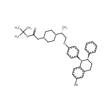 C[C@H](COc1ccc([C@@H]2c3ccc(O)cc3CC[C@@H]2c2ccccc2)cc1)N1CCN(CC(=O)OC(C)(C)C)CC1